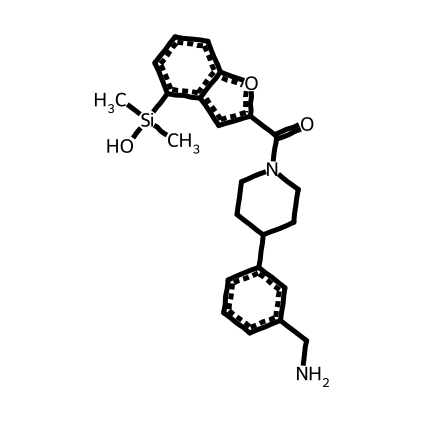 C[Si](C)(O)c1cccc2oc(C(=O)N3CCC(c4cccc(CN)c4)CC3)cc12